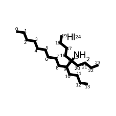 CCCCCCCCCC(CCCC)C(N)(CCCC)CCCC.I